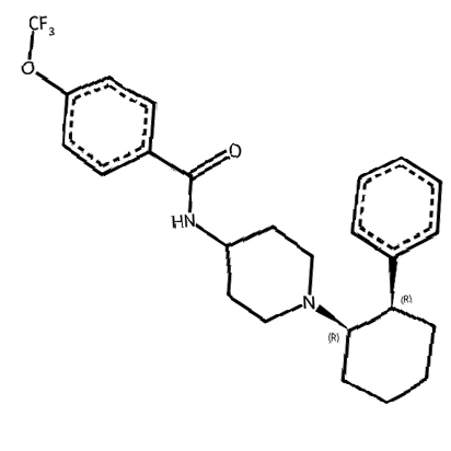 O=C(NC1CCN([C@@H]2CCCC[C@@H]2c2ccccc2)CC1)c1ccc(OC(F)(F)F)cc1